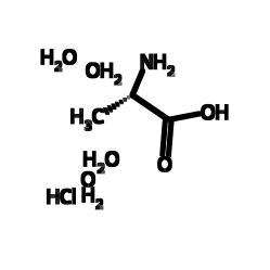 C[C@H](N)C(=O)O.Cl.O.O.O.O